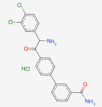 Cl.NC(=O)c1cccc(-c2ccc(C(=O)C(N)c3ccc(Cl)c(Cl)c3)cc2)c1